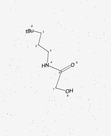 CC(C)(C)CCCNC(=O)CO